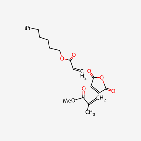 C=C(C)C(=O)OC.C=CC(=O)OCCCCCC(C)C.O=C1C=CC(=O)O1